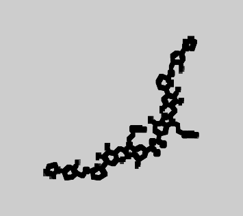 COCCn1c(Cc2c(F)cc(-c3cccc(OCc4ccc(-n5ccnn5)cc4F)n3)c(F)c2F)nc2c(F)cc(C(=O)OC(=O)c3cc(F)c4nc(Cc5c(F)cc(-c6cccc(OCc7ccc(-n8ccnn8)cc7F)n6)c(F)c5F)n(CCOC)c4c3)cc21